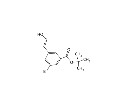 CC(C)(C)OC(=O)c1cc(Br)cc(/C=N/O)c1